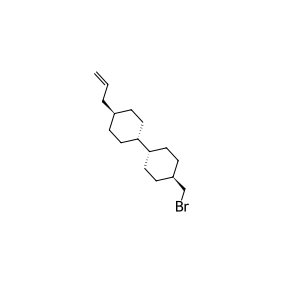 C=CC[C@H]1CC[C@H]([C@H]2CC[C@H](CBr)CC2)CC1